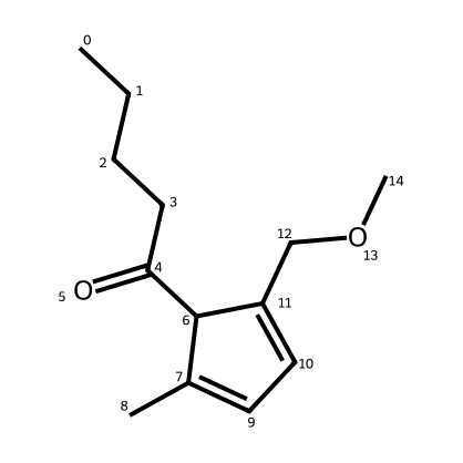 CCCCC(=O)C1C(C)=CC=C1COC